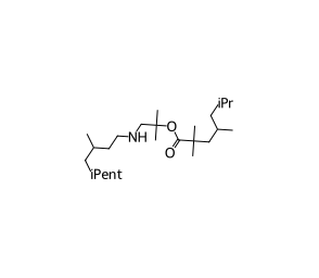 CCCC(C)CC(C)CCNCC(C)(C)OC(=O)C(C)(C)CC(C)CC(C)C